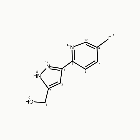 OCc1cc(-c2ccc(F)cn2)n[nH]1